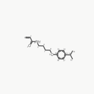 C=CC(=O)NCCCCOc1ccc(C(C)C)cc1